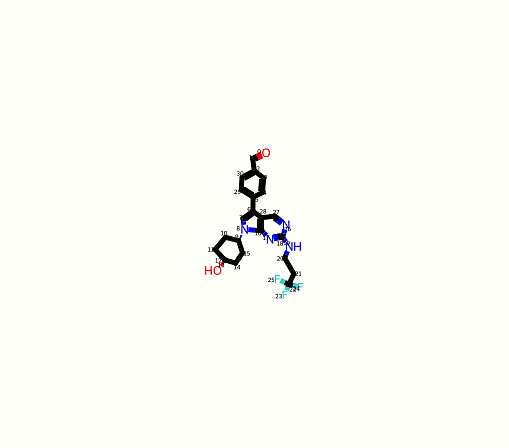 O=Cc1ccc(-c2cn([C@H]3CC[C@H](O)CC3)c3nc(NCCC(F)(F)F)ncc23)cc1